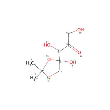 CC1(C)OCC(O)(C(O)C(=O)CO)O1